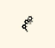 N#Cc1cccc(-c2ccc3c(n2)N[C@@H]2CCCN3C2)c1